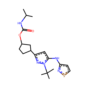 CC(C)NC(=O)OC1CCC(c2cc(Nc3ccsn3)n(C(C)(C)C)n2)C1